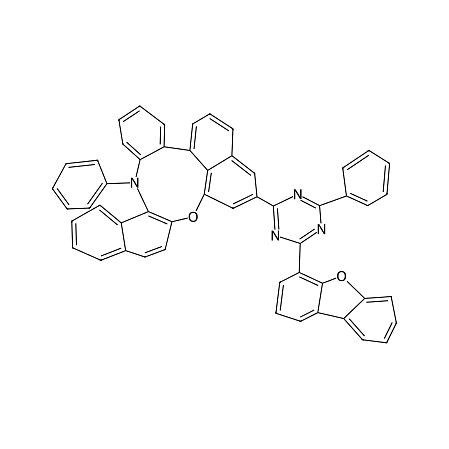 c1ccc(-c2nc(-c3cc4c5c(cccc5c3)-c3ccccc3N(c3ccccc3)c3c(ccc5ccccc35)O4)nc(-c3cccc4c3oc3ccccc34)n2)cc1